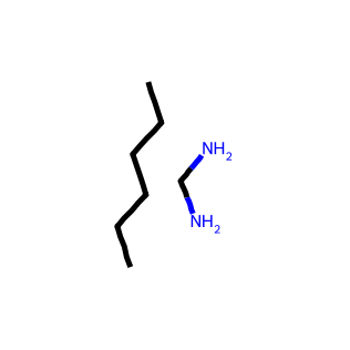 CCCCCC.NCN